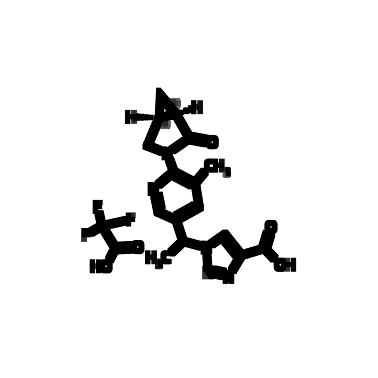 Cc1cc(C(C)n2cc(C(=O)O)nn2)cnc1N1C[C@H]2C[C@H]2C1=O.O=C(O)C(F)(F)F